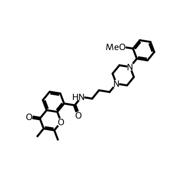 COc1ccccc1N1CCN(CCCNC(=O)c2cccc3c(=O)c(C)c(C)oc23)CC1